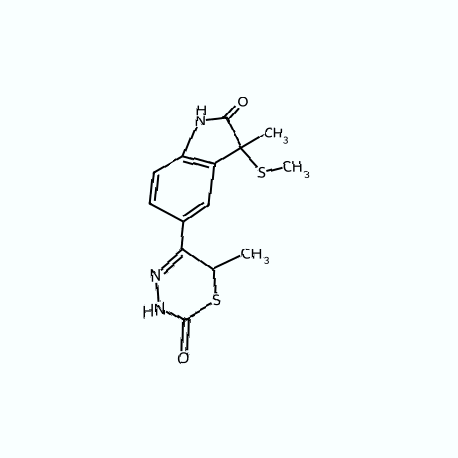 CSC1(C)C(=O)Nc2ccc(C3=NNC(=O)SC3C)cc21